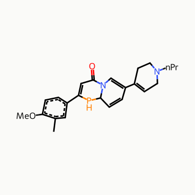 CCCN1CC=C(C2=CN3C(=O)C=C(c4ccc(OC)c(C)c4)PC3C=C2)CC1